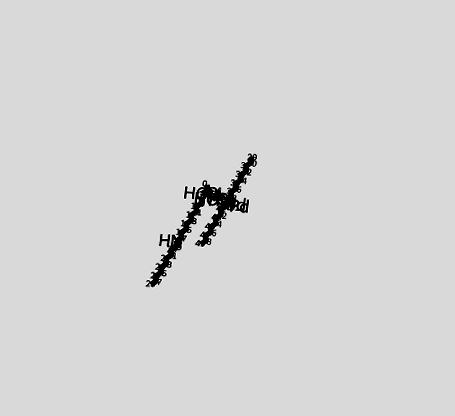 CC(=O)O.CC(=O)O.CCCCCCCCCCNCCCCCCCCCC.CCCCCCCCCCNCCCCCCCCCC.[Pd].[Pd]